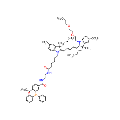 COCCOCCOCC[N+]1=C(/C=C/C=C/C=C2/N(CCCCCC(=O)NCCNC(=O)c3ccc(C(=O)OC)c(P(c4ccccc4)c4ccccc4)c3)c3ccc(S(=O)(=O)O)cc3C2(C)CCCS(=O)(=O)O)C(C)(CCCS(=O)(=O)O)c2cc(S(=O)(=O)O)ccc21